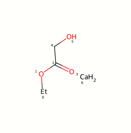 CCOC(=O)CO.[CaH2]